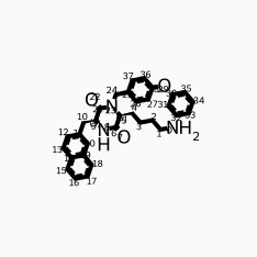 NCCCC[C@H]1C(=O)N[C@@H](Cc2ccc3ccccc3c2)C(=O)N1Cc1ccc(Oc2ccccc2)cc1